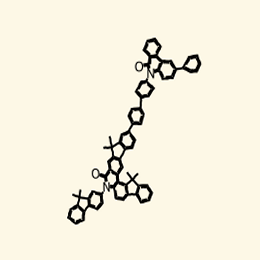 CC1(C)c2ccccc2-c2ccc(-n3c(=O)c4cc5c(cc4c4c6c(ccc43)-c3ccccc3C6(C)C)-c3ccc(-c4ccc(-c6ccc(-n7c(=O)c8ccccc8c8cc(-c9ccccc9)ccc87)cc6)cc4)cc3C5(C)C)cc21